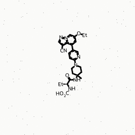 CCOc1cc(-c2ccc(N3CCC(C)(NC(=O)[C@H](CC)NC(=O)O)CC3)nc2)c2c(C#N)cnn2c1